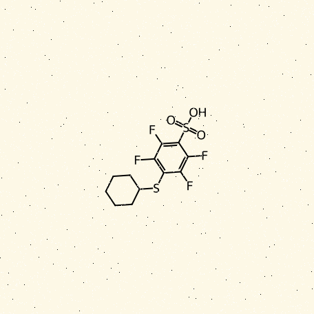 O=S(=O)(O)c1c(F)c(F)c(SC2CCCCC2)c(F)c1F